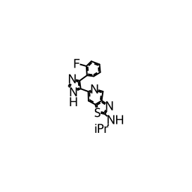 CC(C)Nc1nc2cnc(-c3[nH]cnc3-c3ccccc3F)cc2s1